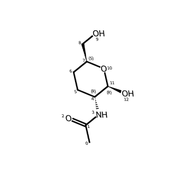 CC(=O)N[C@@H]1CC[C@@H](CO)O[C@H]1O